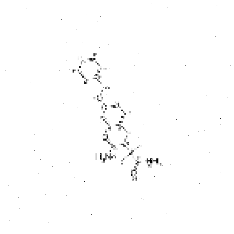 CC(C)([C](Cc1ccc(OCc2ccccc2)cc1)C(N)=O)C(N)=O